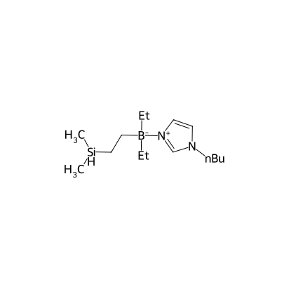 CCCCn1cc[n+]([B-](CC)(CC)CC[SiH](C)C)c1